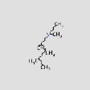 CCCCC/C(CC)=N/CCCCC(CC)CCC[C@@H](C)CCCC(C)CCCC